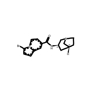 O=C(N[C@@H]1C[C@H]2CCN(C2)C1)c1ccn2c(Br)ccc2c1